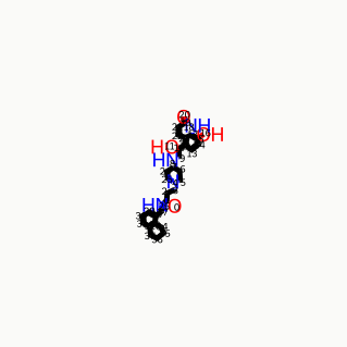 O=C(CCN1CCC(NC[C@@H](O)c2ccc(O)c3[nH]c(=O)ccc23)CC1)NCc1cccc2c1CCCC2